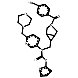 CC(C)(C)c1ccc(C(=O)N2CC3C(C2)C3CN(C(=O)Oc2cccs2)c2ccc(CN3CCOCC3)nc2)cc1